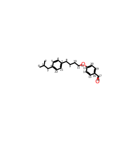 CC(C)Cc1ccc(CCCCOc2ccc(C=O)cc2)cc1